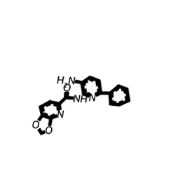 Nc1ccc(-c2ccccc2)nc1NC(=O)c1ccc2c(n1)OCO2